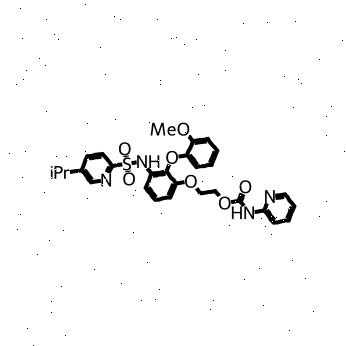 COc1ccccc1Oc1c(NS(=O)(=O)c2ccc(C(C)C)cn2)cccc1OCCOC(=O)Nc1ccccn1